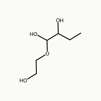 CCC(O)C(O)OCCO